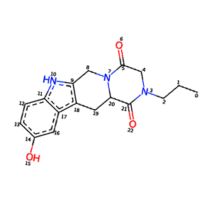 CCCN1CC(=O)N2Cc3[nH]c4ccc(O)cc4c3CC2C1=O